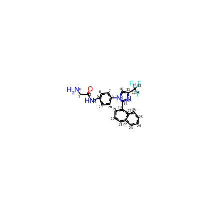 NCC(=O)Nc1ccc(-n2cc(C(F)(F)F)nc2-c2cccc3ccccc23)cc1